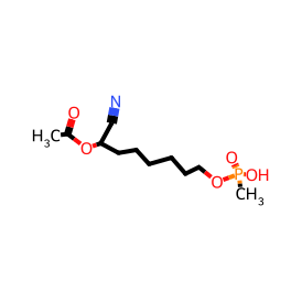 CC(=O)OC(C#N)CCCCCCOP(C)(=O)O